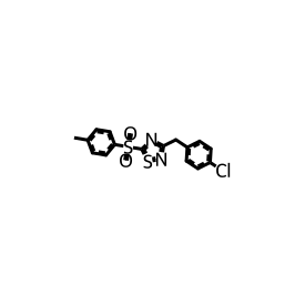 Cc1ccc(S(=O)(=O)c2nc(Cc3ccc(Cl)cc3)ns2)cc1